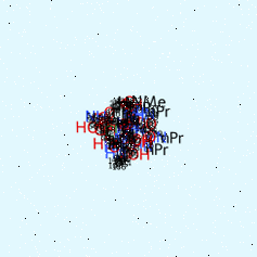 CCCNCCCc1c(OCCNCCC)cc(NC(=O)NC(=O)C[C@@H]2NC(=O)[C@H](NC(=O)[C@@H](CC(C)C)NC)[C@H](O)c3ccc(c(C)c3)Oc3cc4cc(c3O[C@@H]3O[C@H](CN)[C@@H](O)[C@H](O)[C@H]3O)Oc3ccc(cc3Cl)[C@@H](O)[C@@H]3NC(=O)[C@H](NC(=O)[C@@H]4NC2=O)c2ccc(O)c(c2)-c2c(O)cc(O)cc2[C@@H](C(=O)NC2C4CC5CC(C4)CC2C5)NC3=O)cc1OCCNCCC